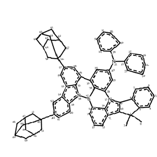 CC1(C)c2ccccc2-c2c1c1cccc3c1n2-c1cc(N(c2ccccc2)c2ccccc2)cc2c1B3n1c3ccc(C45CC6CC(CC(C6)C4)C5)cc3c3cc(C45CC6CC(CC(C6)C4)C5)cc-2c31